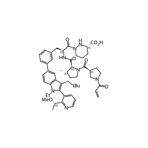 C=CC(=O)N1CC[C@H](C(=O)N2CC[C@H](C)[C@H]2C(=O)N[C@@H](Cc2cccc(-c3ccc4c(c3)c(CC(C)(C)C)c(-c3cccnc3[C@H](C)OC)n4CC)c2)C(=O)N2CCC[C@@H](C(=O)O)N2)C1